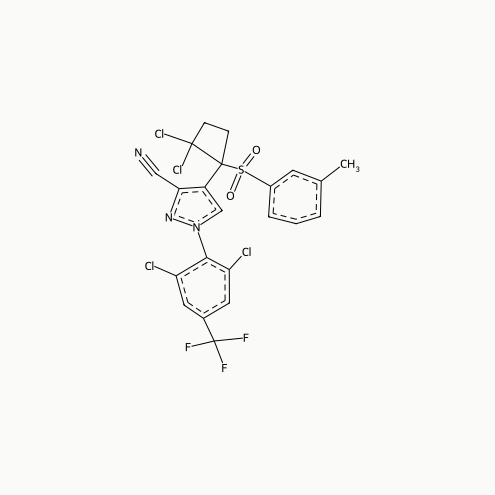 Cc1cccc(S(=O)(=O)C2(c3cn(-c4c(Cl)cc(C(F)(F)F)cc4Cl)nc3C#N)CCC2(Cl)Cl)c1